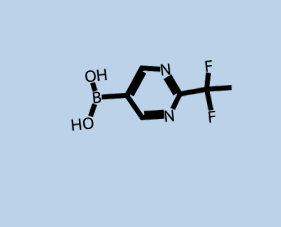 CC(F)(F)c1ncc(B(O)O)cn1